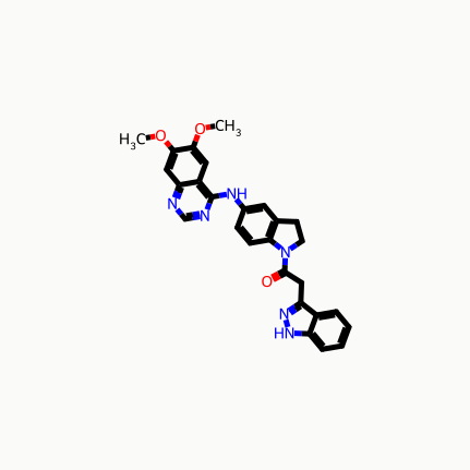 COc1cc2ncnc(Nc3ccc4c(c3)CCN4C(=O)Cc3n[nH]c4ccccc34)c2cc1OC